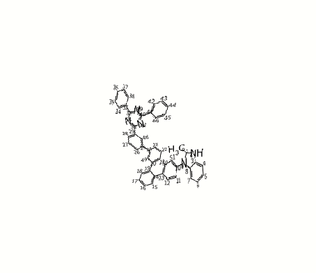 CC1Nc2ccccc2N1c1ccc(-c2ccccc2-c2cccc(-c3cccc(-c4nc(-c5ccccc5)nc(-c5ccccc5)n4)c3)c2)cc1